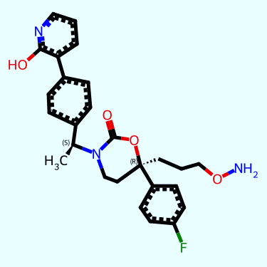 C[C@@H](c1ccc(-c2cccnc2O)cc1)N1CC[C@](CCCON)(c2ccc(F)cc2)OC1=O